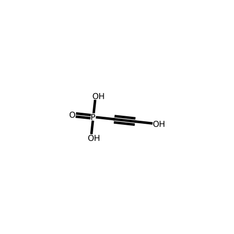 O=P(O)(O)C#CO